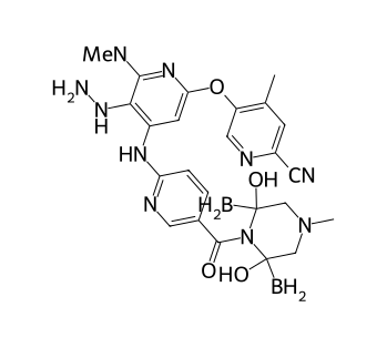 BC1(O)CN(C)CC(B)(O)N1C(=O)c1ccc(Nc2cc(Oc3cnc(C#N)cc3C)nc(NC)c2NN)nc1